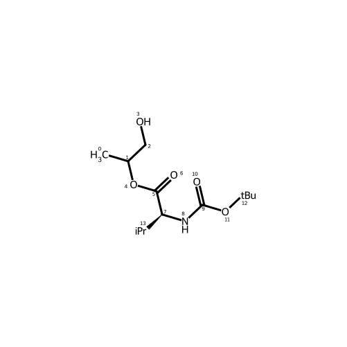 CC(CO)OC(=O)[C@@H](NC(=O)OC(C)(C)C)C(C)C